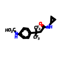 O=C(O)Nc1ccc(C(CC(=O)NC2CC2)(C(F)(F)F)C(F)(F)F)cc1